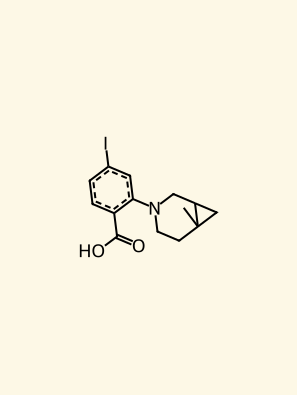 CC12CCN(c3cc(I)ccc3C(=O)O)CC1C2